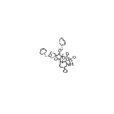 COC(=O)C(=O)O[C@@]1(C)[C@H](OCc2ccccc2)[C@@](CF)(COCc2ccccc2)O[C@H]1n1ccc(=O)[nH]c1=O